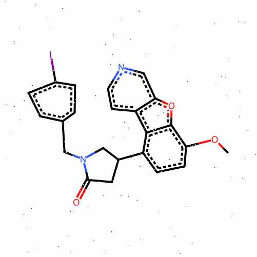 COc1ccc(C2CC(=O)N(Cc3ccc(I)cc3)C2)c2c1oc1cnccc12